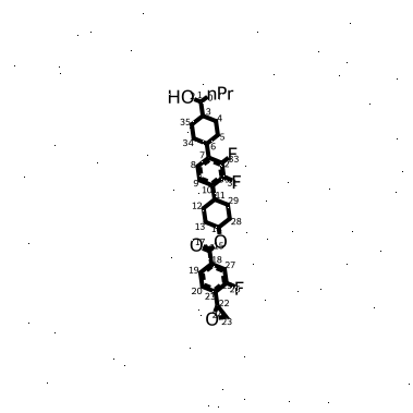 CCCC(O)C1CCC(c2ccc(C3CCC(OC(=O)c4ccc(C5CO5)c(F)c4)CC3)c(F)c2F)CC1